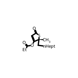 CCCCCCCC[C@@]1(C)SC(=O)C=C1OC(=O)CC